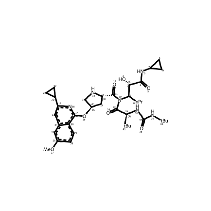 CCCC([C@H](O)C(=O)NC1CC1)N(C(=O)[C@@H]1C[C@@H](Oc2nc(C3CC3)cc3cc(OC)ccc23)CN1)C(=O)[C@@H](NC(=O)NC(C)(C)C)C(C)(C)C